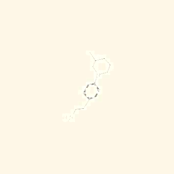 CC1CCCN(c2c[c]c(CCN)cc2)C1